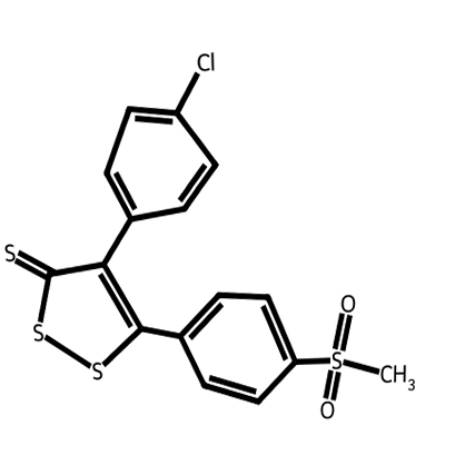 CS(=O)(=O)c1ccc(-c2ssc(=S)c2-c2ccc(Cl)cc2)cc1